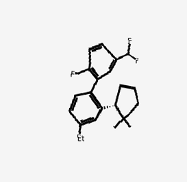 CCc1ccc(-c2cc(C(F)F)ccc2F)c([C@@H]2CCCC2(C)C)c1